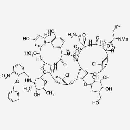 CNC(CC(C)C)C(=O)NC1C(=O)N[C@@H](CC(N)=O)C(=O)N[C@H]2C(=O)N[C@H]3C(=O)N[C@H](C(=O)N[C@@H](C(=O)O)c4cc(O)cc(O)c4-c4cc3ccc4O)C(OC3C[C@](C)(NCc4cccc([N+](=O)[O-])c4OCc4ccccc4)C(O)[C@H](C)O3)c3ccc(c(Cl)c3)Oc3cc2cc(c3OC2CC(CO)[C@@H](O)C(O)[C@H]2O)Oc2ccc(cc2Cl)[C@H]1O